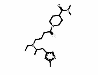 CCN(CCCC(=O)N1CCC(C(=O)N(C)C)CC1)C(C)Cc1csc(C)c1